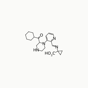 O=C(C1CCCCC1)C1CNCCN1c1cccnc1C=NC1(C(=O)O)CC1